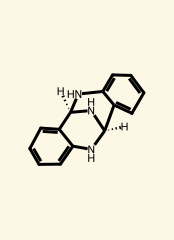 c1ccc2c(c1)N[C@H]1N[C@@H]2Nc2ccccc21